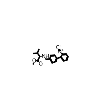 [C-]#[N+]c1ccccc1-c1ccc(CN[C@H](C(=O)OC)C(C)C)cc1